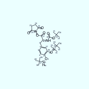 C[SiH](Oc1ccc(CC(NC(=O)OC(C)(C)C)C(=O)ON2C(=O)CCC2=O)cc1O[Si](C)(C)C(C)(C)C)C(C)(C)C